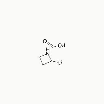 O=CO.[Li][CH]1CCN1